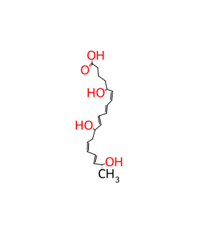 C[C@@H](O)/C=C/C=C\C[C@@H](O)/C=C/C=C/C=C\[C@@H](O)CCCC(=O)O